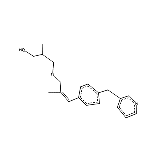 CC(=Cc1ccc(Cc2cccnc2)cc1)COCC(C)CO